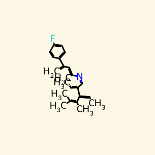 C=C(/C=C(C)/N=C\C(=C/C)C(=C\C)\C(C)=C(C)C)c1ccc(F)cc1